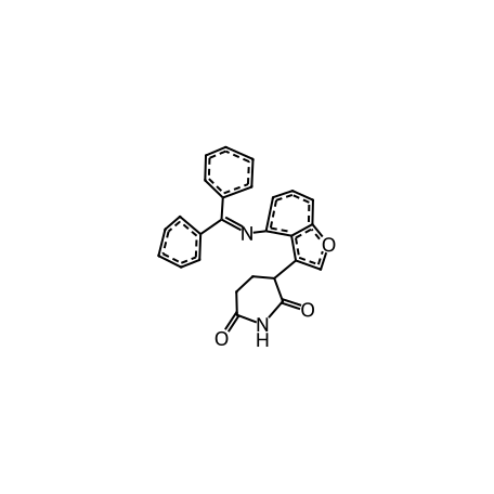 O=C1CCC(c2coc3cccc(N=C(c4ccccc4)c4ccccc4)c23)C(=O)N1